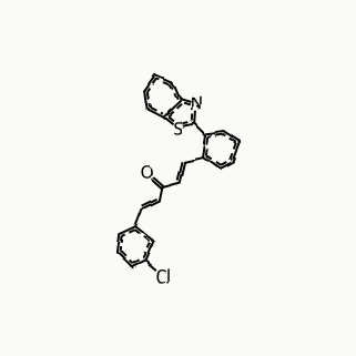 O=C(C=Cc1cccc(Cl)c1)C=Cc1ccccc1-c1nc2ccccc2s1